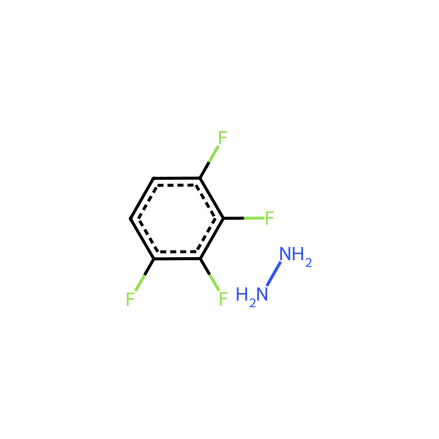 Fc1ccc(F)c(F)c1F.NN